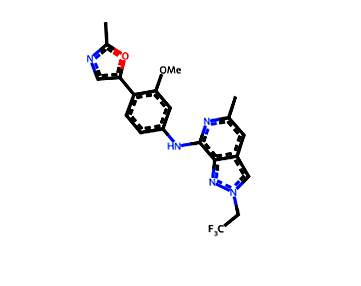 COc1cc(Nc2nc(C)cc3cn(CC(F)(F)F)nc23)ccc1-c1cnc(C)o1